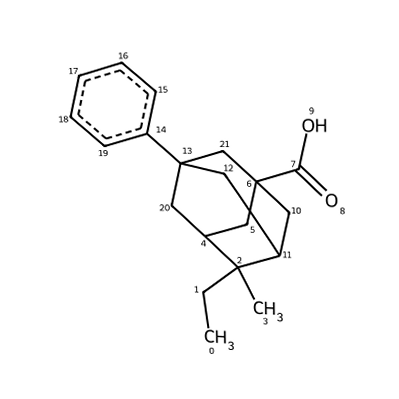 CCC1(C)C2CC3(C(=O)O)CC1CC(c1ccccc1)(C2)C3